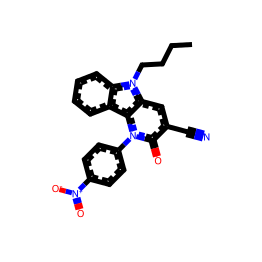 CCCCn1c2ccccc2c2c1cc(C#N)c(=O)n2-c1ccc([N+](=O)[O-])cc1